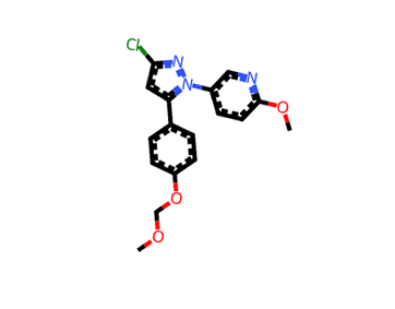 COCOc1ccc(-c2cc(Cl)nn2-c2ccc(OC)nc2)cc1